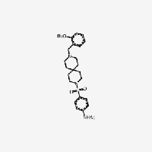 CC(=O)Nc1ccc(S(=O)(=O)N2CCC3(CCN(Cc4ccccc4OCC(C)C)CC3)CC2)cc1